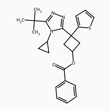 CC(C)(C)c1nnc(C2(c3cccs3)CC(OC(=O)c3ccccc3)C2)n1C1CC1